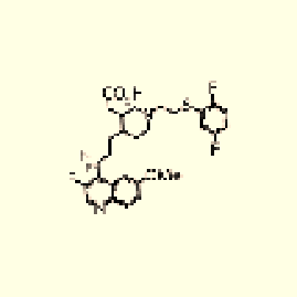 COc1ccc2ncc(F)c([C@H](F)CCC3CCN(CCSc4cc(F)ccc4F)CC3CC(=O)O)c2c1